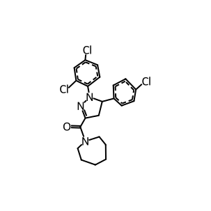 O=C(C1=NN(c2ccc(Cl)cc2Cl)C(c2ccc(Cl)cc2)C1)N1CCCCCC1